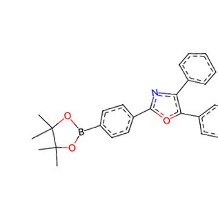 CC1(C)OB(c2ccc(-c3nc(-c4ccccc4)c(-c4ccccc4)o3)cc2)OC1(C)C